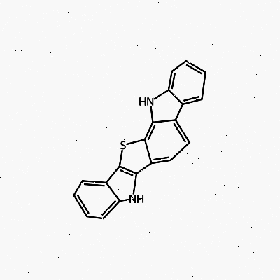 c1ccc2c(c1)[nH]c1c2ccc2c3[nH]c4ccccc4c3sc21